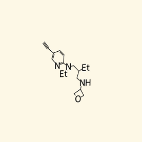 C#Cc1ccc(N(CC)CC(CC)CNC2COC2)nc1